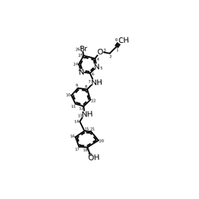 C#CCOc1nc(Nc2cccc(NCc3ccc(O)cc3)c2)ncc1Br